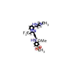 COc1cc(S(C)(=O)=O)ccc1NCC#Cc1nc2c([C@@H]3CC4(CN(C)C4)N3)cccn2c1CC(F)(F)F